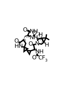 CC1(C)[C@@H]2[C@@H](C(=O)N[C@@H](C[C@@H]3CC4(CC4)NC3=O)C(N)=O)N(C(=O)[C@@H](NC(=O)C(F)(F)F)C3CC3)C[C@@H]21